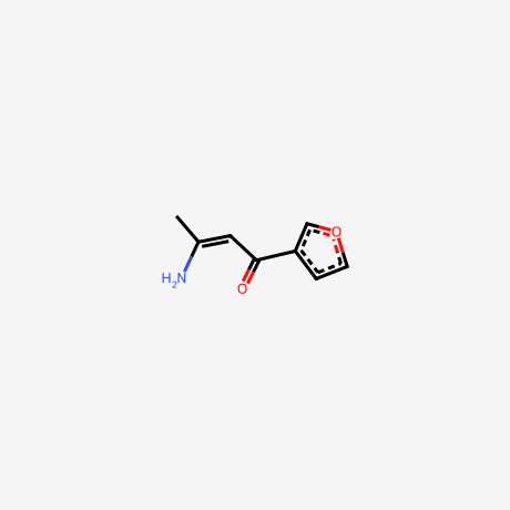 CC(N)=CC(=O)c1ccoc1